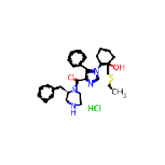 CCSCC1(O)CCCCC1n1cnc(C(=O)N2CCNC[C@H]2Cc2ccccc2)c1-c1ccccc1.Cl